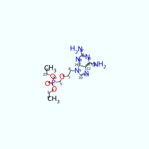 CCOP(=O)(COCCn1cnc2c(N)nc(N)nc21)OCC